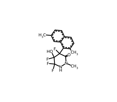 Cc1ccc2ccc(C)c(C3(F)C(=O)N(C)NC(F)(F)C3(O)F)c2c1